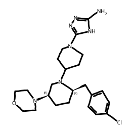 Nc1nnc(N2CCC(N3C[C@H](N4CCOCC4)CC[C@@H]3Cc3ccc(Cl)cc3)CC2)[nH]1